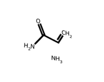 C=CC(N)=O.N